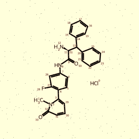 Cl.Cn1c(-c2ccc(NC(=O)[C@@H](N)C(c3ccccc3)c3ccccc3)cc2F)cccc1=O